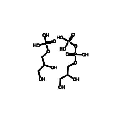 O=P(O)(O)OCC(O)CO.O=P(O)(O)OP(=O)(O)OCC(O)CO